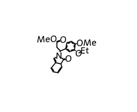 CCOc1cc(C(CC(=O)OC)N2C=C3C=CC=CC3C2=O)ccc1OC